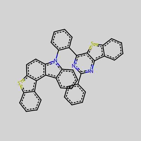 c1ccc(-c2nc(-c3ccccc3-n3c4ccccc4c4c5c(ccc43)sc3ccccc35)c3sc4ccccc4c3n2)cc1